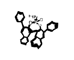 N=P1(Cl)Oc2c(-c3ccccc3)cc3ccccc3c2-c2c(c(-c3ccccc3)cc3ccccc23)O1